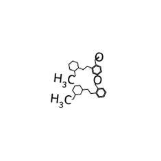 CCC1CCCC(CCc2ccccc2C=O)C1.CCC1CCCCC1CCc1ccccc1C=O